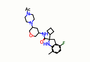 CC(=O)N1CCN(C2COCC(NC(=O)C3(C4CCC4)Cc4c(F)ccc(C)c4N3)C2)CC1